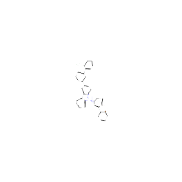 Brc1ccccc1-c1cccc(-c2ccc3c(c2)c2ccccc2n3-c2ccc3sc4ccccc4c3c2)c1